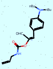 C=CCNC(=O)O/C(C=O)=C/c1ccc(N(CCCC)CCCC)cc1